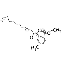 CCCCCCCCOCC(=O)N(C)c1cc(C)ccc1C(=O)OCC